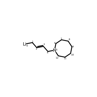 [Li][CH2]C=CCN1CCCCCCC1